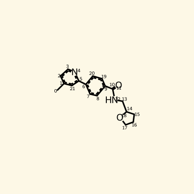 Cc1ccnc(-c2ccc(C(=O)NCC3CCCO3)cc2)c1